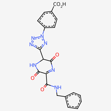 O=C(NCc1ccccc1)C1=NC(=O)C(c2nnn(-c3ccc(C(=O)O)cc3)n2)NC1=O